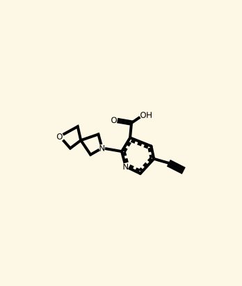 C#Cc1cnc(N2CC3(COC3)C2)c(C(=O)O)c1